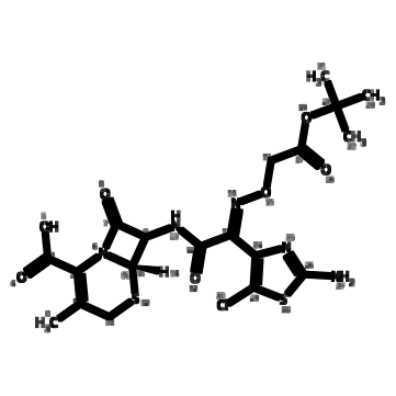 CC1=C(C(=O)O)N2C(=O)C(NC(=O)C(=NOCC(=O)OC(C)(C)C)c3nc(N)sc3Cl)[C@@H]2SC1